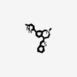 Cc1ccc(-c2ccc3c(c2)CN(C)CCC3c2cc3ccccc3s2)nn1